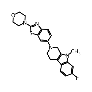 Cn1c2c(c3ccc(F)cc31)CCN(c1ccc3nc(N4CCOCC4)sc3c1)C2